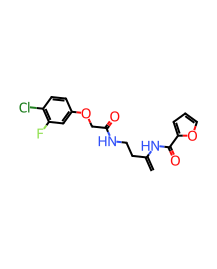 C=C(CCNC(=O)COc1ccc(Cl)c(F)c1)NC(=O)c1ccco1